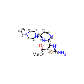 COC(=O)c1sc(N)nc1-c1nccc(N2CCN(CC(C)C)CC2)n1